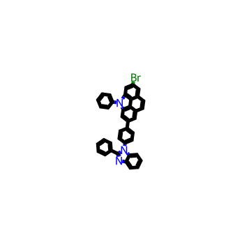 Brc1cc2ccc3cc(-c4ccc(-n5c(-c6ccccc6)nc6ccccc65)cc4)cc4c3c2c(c1)n4-c1ccccc1